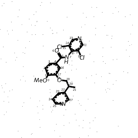 COc1ccc(C(=O)Nc2c(Cl)cncc2Cl)cc1OCC(C)c1cccnc1